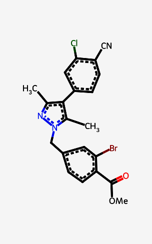 COC(=O)c1ccc(Cn2nc(C)c(-c3ccc(C#N)c(Cl)c3)c2C)cc1Br